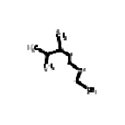 CCOCCC(C)[C](C)C